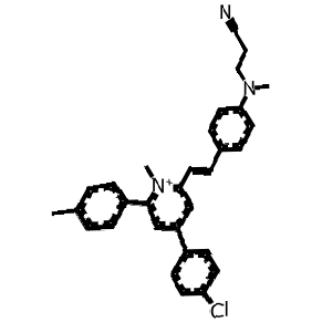 Cc1ccc(-c2cc(-c3ccc(Cl)cc3)cc(/C=C/c3ccc(N(C)CCC#N)cc3)[n+]2C)cc1